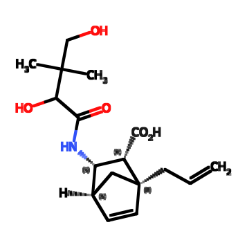 C=CC[C@]12C=C[C@H](C1)[C@H](NC(=O)C(O)C(C)(C)CO)[C@@H]2C(=O)O